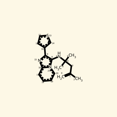 C=C(C)CC(C)(C)Nc1c(-c2ccsc2)nc2ccccn12